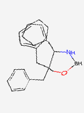 B1NC(C2CCCCC2)C(Cc2ccccc2)(Cc2ccccc2)O1